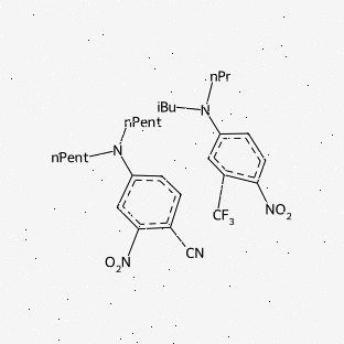 CCCCCN(CCCCC)c1ccc(C#N)c([N+](=O)[O-])c1.CCCN(c1ccc([N+](=O)[O-])c(C(F)(F)F)c1)C(C)CC